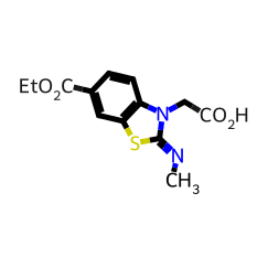 CCOC(=O)c1ccc2c(c1)sc(=NC)n2CC(=O)O